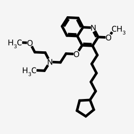 CCN(CCOC)CCOc1c(CCCCCC2CCCC2)c(OC)nc2ccccc12